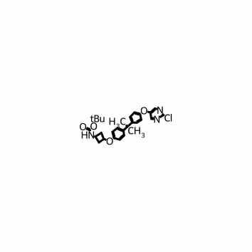 CC(C)(C)OC(=O)NC1CC(Oc2ccc(C(C)(C)c3ccc(Oc4cnc(Cl)nc4)cc3)cc2)C1